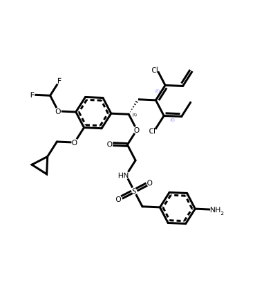 C=C/C(Cl)=C(C[C@H](OC(=O)CNS(=O)(=O)Cc1ccc(N)cc1)c1ccc(OC(F)F)c(OCC2CC2)c1)\C(Cl)=C/C